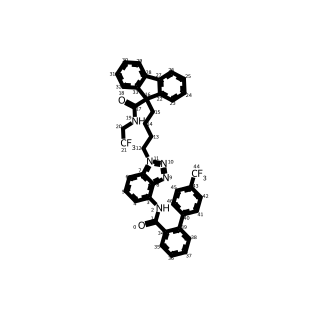 O=C(Nc1cccc2c1nnn2CCCCC1(C(=O)NCC(F)(F)F)c2ccccc2-c2ccccc21)c1ccccc1-c1ccc(C(F)(F)F)cc1